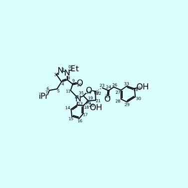 CCn1ncc(CCC(C)C)c1C(=O)CN1c2ccccc2[C@]2(O)C[C@@H](CC(=O)Cc3cccc(O)c3)OC12